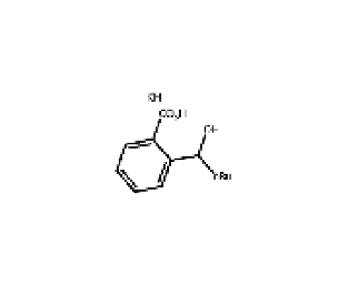 CCCCC(O)c1ccccc1C(=O)O.[KH]